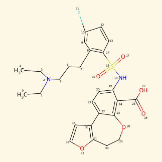 CCN(CC)CCCc1cc(F)ccc1S(=O)(=O)Nc1ccc2c(c1C(=O)O)OCCc1occc1-2